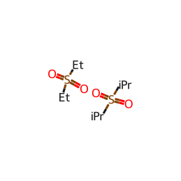 CC(C)S(=O)(=O)C(C)C.CCS(=O)(=O)CC